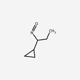 CCC(N=O)C1CC1